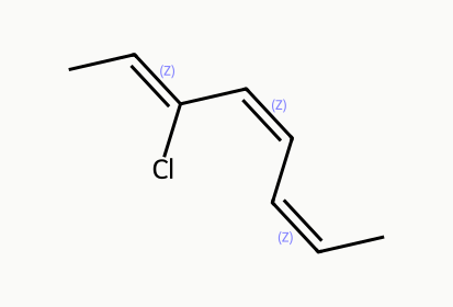 C\C=C/C=C\C(Cl)=C\C